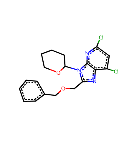 Clc1cc(Cl)c2nc(COCc3ccccc3)n(C3CCCCO3)c2n1